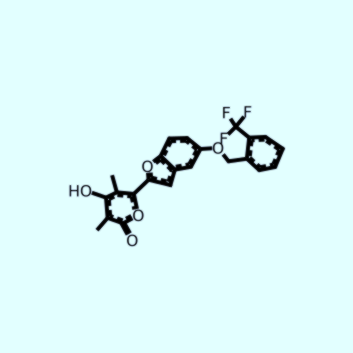 Cc1c(-c2cc3cc(OCc4ccccc4C(F)(F)F)ccc3o2)oc(=O)c(C)c1O